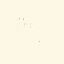 CCN(CC)CCCC(C)NC(=O)Nc1sc2c(c1C(N)=O)CCOC2